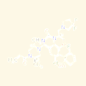 C=CC(=O)N1C[C@H](C)N(c2nc(=O)n3c4c(c(-c5c(O)cccc5F)c(Cl)cc24)OC[C@H]3CN2CCC(F)(F)C2)C[C@H]1C